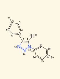 [2H]c1c(-c2ccc(C)cc2)nnn1-c1ccc(C)cc1